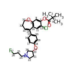 CC(C)(C)C(=O)Oc1cc2c(cc1Cl)C(c1ccc(O[C@H]3CCN(CCCF)C3)cc1)=CCCO2